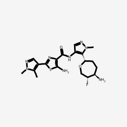 Cc1c(-c2nc(C(=O)Nc3cnn(C)c3[C@@H]3CC[C@@H](N)[C@H](F)CO3)c(N)s2)cnn1C